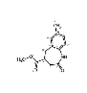 COC(=O)C1CC(=O)Nc2ccc(C)cc2C1